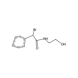 O=C(NCCO)C(Br)c1ccccc1